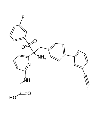 CC#Cc1cccc(-c2ccc(CC(N)(c3cccc(NCC(=O)O)n3)S(=O)(=O)c3cccc(F)c3)cc2)c1